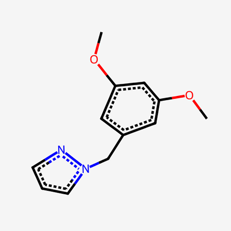 COc1cc(Cn2cccn2)cc(OC)c1